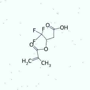 C=C(C)C(=O)OC(CC(=O)O)C(F)(F)F